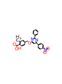 Cc1cc(COc2cc(-c3ccc([N+](=O)[O-])cc3)nc(-c3ccccc3)n2)ccc1C(=O)O